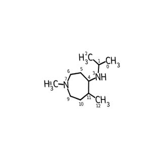 CC(C)NC1CCN(C)CCC1C